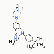 CCCN(Cc1cc(N2CCN(C)CC2)ccc1C#N)c1ccc(C(C)(C)C)cc1